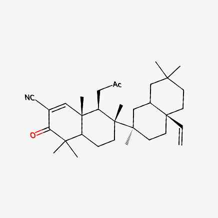 C=C[C@]12CCC(C)(C)CC1C[C@](C)([C@]1(C)CCC3C(C)(C)C(=O)C(C#N)=C[C@]3(C)[C@H]1CC(C)=O)CC2